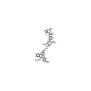 CC/C(=C(\c1ccc(O)cc1)c1ccc(OCCCCCN2CC(C)N(c3ccc4c(c3)CN(C3CC(=O)CNC3=O)C4=O)CC2C)cc1)c1ccccc1